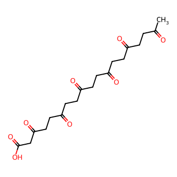 CC(=O)CCC(=O)CCC(=O)CCC(=O)CCC(=O)CCC(=O)CC(=O)O